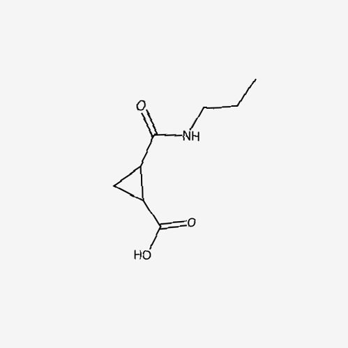 CCCNC(=O)C1CC1C(=O)O